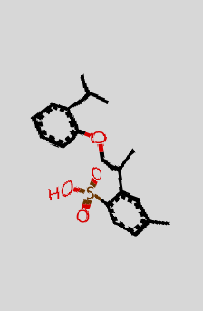 Cc1ccc(S(=O)(=O)O)c(C(C)COc2ccccc2C(C)C)c1